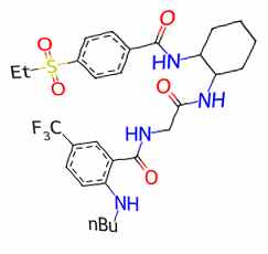 CCCCNc1ccc(C(F)(F)F)cc1C(=O)NCC(=O)NC1CCCCC1NC(=O)c1ccc(S(=O)(=O)CC)cc1